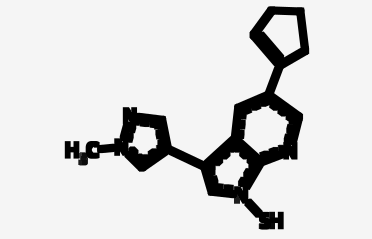 Cn1cc(-c2cn(S)c3ncc(C4=CCCC4)cc23)cn1